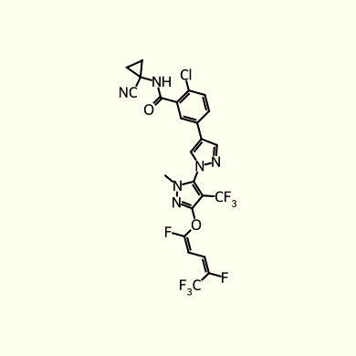 Cn1nc(O/C(F)=C\C=C(\F)C(F)(F)F)c(C(F)(F)F)c1-n1cc(-c2ccc(Cl)c(C(=O)NC3(C#N)CC3)c2)cn1